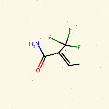 C/C=C(/C(N)=O)C(F)(F)F